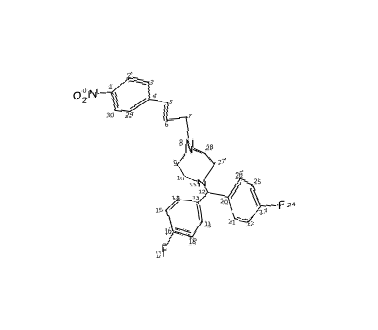 O=[N+]([O-])c1ccc(C=CCN2CCN(C(c3ccc(F)cc3)c3ccc(F)cc3)CC2)cc1